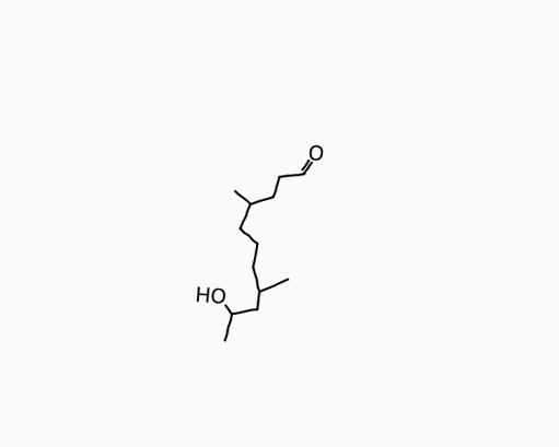 CC(O)CC(C)CCCC(C)CCC=O